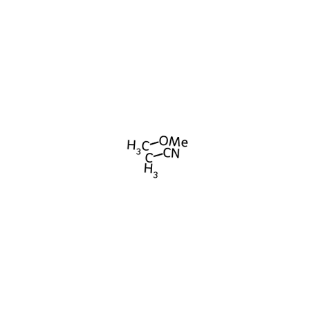 CC#N.COC